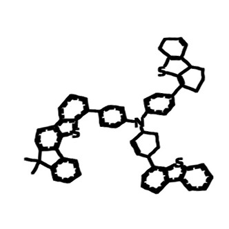 CC1(C)c2ccccc2-c2c1ccc1c2sc2c(-c3ccc(N(c4ccc(C5=C6SC7=C(C=CCC7)C6CCC5)cc4)C4C=CC(c5cccc6c5sc5ccccc56)CC4)cc3)cccc21